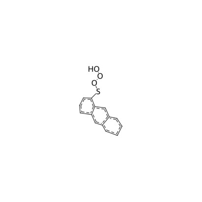 OOOSc1cccc2cc3ccccc3cc12